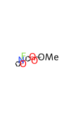 COCCC(=O)Oc1ccc(-c2nc3ccccc3o2)c(F)c1